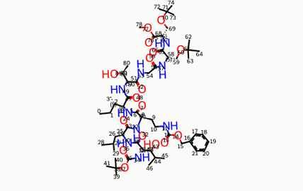 CC[C@H](C)[C@H](NC(=O)[C@@H](CCNC(=O)OCc1ccccc1)NC(=O)[C@H](CC(C)C)NC(=O)[C@@H](NC(=O)OC(C)(C)C)[C@H](O)C(C)C)C(=O)N[C@H](C(=O)NCC(=O)N[C@@H](COC(C)(C)C)C(=O)N[C@@H](COC(C)(C)C)C(=O)OC)[C@H](C)O